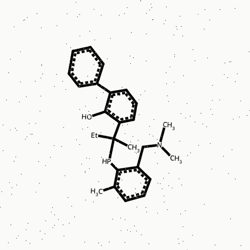 CCC(C)(Pc1c(C)cccc1CN(C)C)c1cccc(-c2ccccc2)c1O